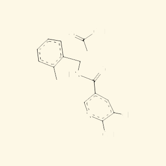 Cc1ccccc1[C@H](CC(=O)O)NC(=O)c1cnc(O)c(Cl)c1